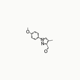 COc1ccc(-n2cc(C)c(C=O)n2)cc1